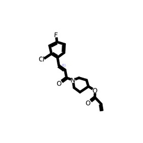 C=CC(=O)OC1CCN(C(=O)/C=C/c2ccc(F)cc2Cl)CC1